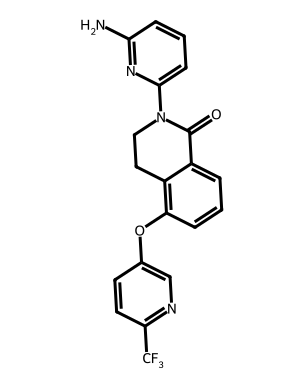 Nc1cccc(N2CCc3c(Oc4ccc(C(F)(F)F)nc4)cccc3C2=O)n1